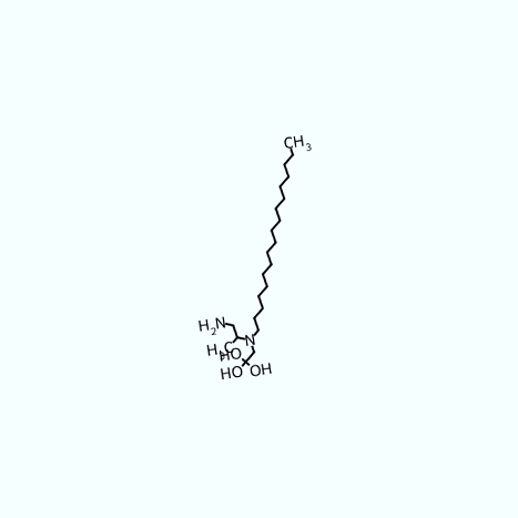 CCCCCCCCCCCCCCCCCCN(CC(O)(O)O)C(C)CN